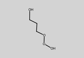 OCCCOOO